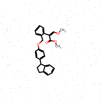 COC=C(C(=O)OC)c1ccccc1COc1ccc(C2CCc3ccccc32)cc1